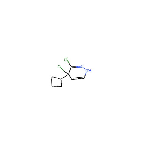 ClC1=NNC=CC1(Cl)C1CCC1